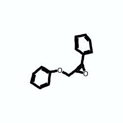 c1ccc(OCC2=C(c3ccccc3)O2)cc1